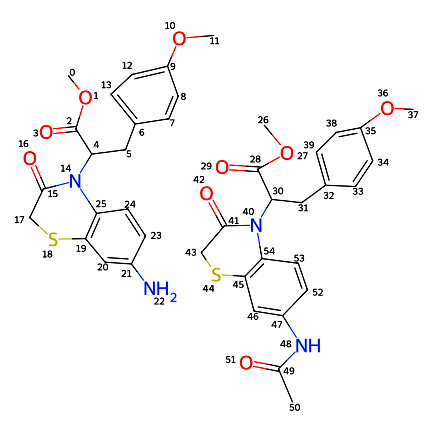 COC(=O)C(Cc1ccc(OC)cc1)N1C(=O)CSc2cc(N)ccc21.COC(=O)C(Cc1ccc(OC)cc1)N1C(=O)CSc2cc(NC(C)=O)ccc21